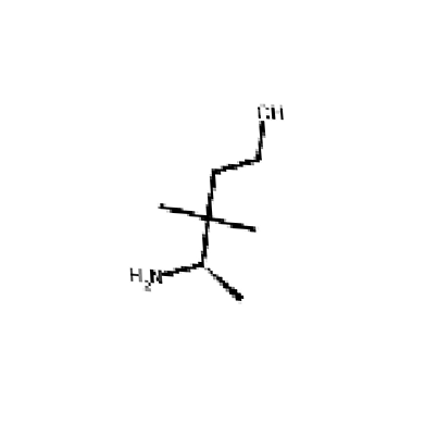 C[C@@H](N)C(C)(C)CCO